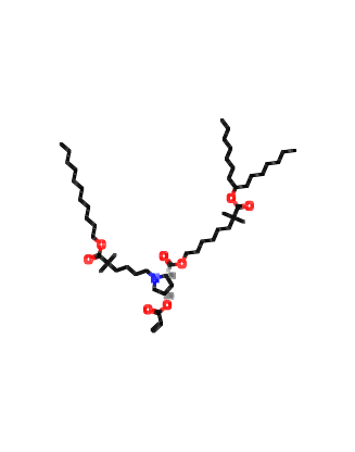 C=CC(=O)O[C@H]1C[C@@H](C(=O)OCCCCCCC(C)(C)C(=O)OC(CCCCCCC)CCCCCCC)N(CCCCC(C)(C)C(=O)OCCCCCCCCCCC)C1